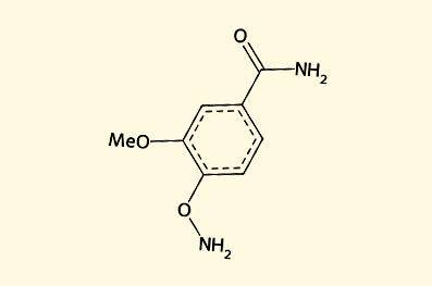 COc1cc(C(N)=O)ccc1ON